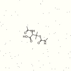 CNC(=O)SC(C)(C)[C@H](NC(C)=O)C(=O)O